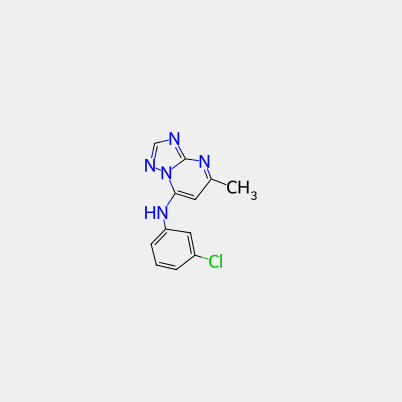 Cc1cc(Nc2cccc(Cl)c2)n2ncnc2n1